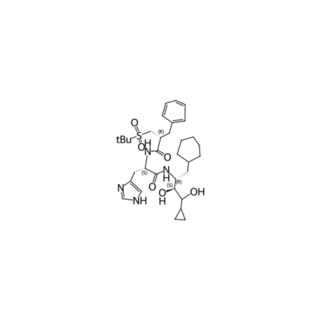 CC(C)(C)S(=O)(=O)C[C@H](Cc1ccccc1)C(=O)N[C@@H](Cc1c[nH]cn1)C(=O)N[C@H](CC1CCCCC1)[C@H](O)C(O)C1CC1